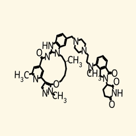 Cc1cc2cc(n1)-c1cnn(C)c1OCCC[C@@H](C)CN1/C(=N/C2=O)Nc2ccc(CN3CCN(CCN(C)c4cccc5c4CN(C4CCC(=O)NC4=O)C5=O)CC3)cc21